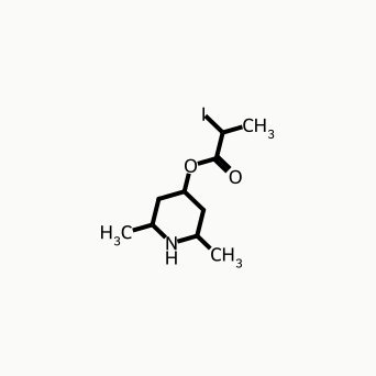 CC1CC(OC(=O)C(C)I)CC(C)N1